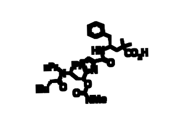 CCCN(C(=O)C[C@@H](C)CC)[C@H](C[C@@H](OC(=O)NC)c1nc(C(=O)N[C@@H](Cc2ccccc2)CC(C)(C)C(=O)O)cs1)C(C)C